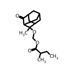 CCC(C)C(=O)OCOC1(C)C2CC3CC(C2)C(=O)C1C3